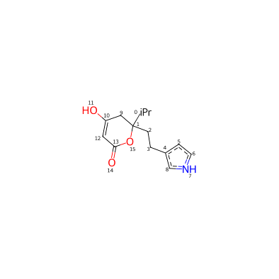 CC(C)C1(CCc2cc[nH]c2)CC(O)=CC(=O)O1